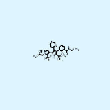 CCNC(=O)c1cccc(-c2c(C(C)C)[nH]c(-c3cnn(CC(C)O)c3C(F)(F)F)c2-c2ccncn2)c1Cl